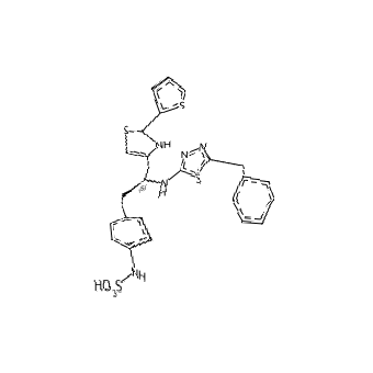 O=S(=O)(O)Nc1ccc(C[C@H](Nc2nnc(Cc3ccccc3)s2)C2=CSC(c3cccs3)N2)cc1